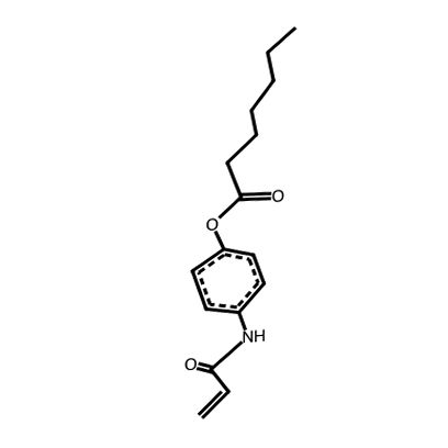 C=CC(=O)Nc1ccc(OC(=O)CCCCCC)cc1